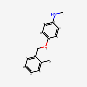 CNc1ccc(OCc2ccccc2C)cc1